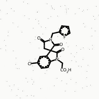 O=C(O)CN1C(=O)C2(CC(=O)N(Cc3cccs3)C2=O)c2cc(Cl)ccc21